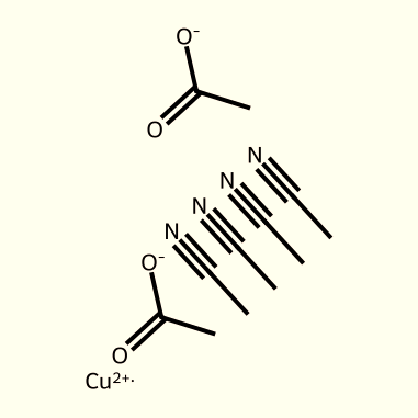 CC#N.CC#N.CC#N.CC#N.CC(=O)[O-].CC(=O)[O-].[Cu+2]